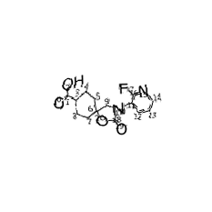 O=C(O)C1CCC2(CC1)CN(c1cccnc1F)C(=O)O2